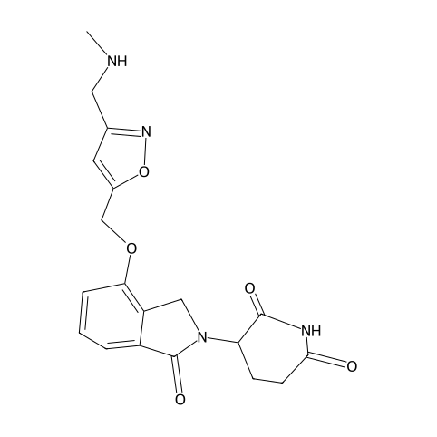 CNCc1cc(COc2cccc3c2CN(C2CCC(=O)NC2=O)C3=O)on1